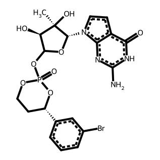 C[C@@]1(O)[C@H](O)C(OP2(=O)OCC[C@@H](c3cccc(Br)c3)O2)O[C@H]1n1ccc2c(=O)[nH]c(N)nc21